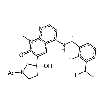 CC(=O)N1CCC(O)(c2cc3c(N[C@H](C)c4cccc(C(F)F)c4F)ccnc3n(C)c2=O)C1